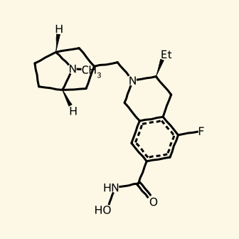 CC[C@H]1Cc2c(F)cc(C(=O)NO)cc2CN1CC1C[C@H]2CC[C@@H](C1)N2C